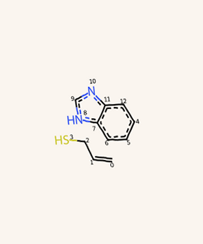 C=CCS.c1ccc2[nH]cnc2c1